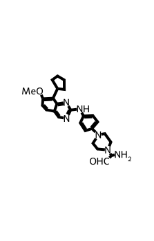 COc1ccc2cnc(Nc3ccc(N4CCN(C(N)C=O)CC4)cc3)nc2c1C1CCCC1